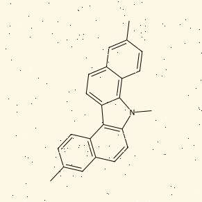 Cc1ccc2c(ccc3c2c2ccc4cc(C)ccc4c2n3C)c1